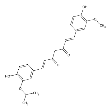 COc1cc(/C=C/C(=O)CC(=O)/C=C/c2ccc(O)c(OC(C)C)c2)ccc1O